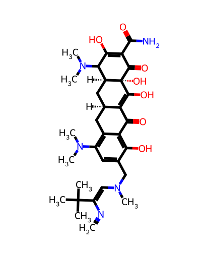 C=N/C(=C\N(C)Cc1cc(N(C)C)c2c(c1O)C(=O)C1=C(O)[C@]3(O)C(=O)C(C(N)=O)=C(O)C(N(C)C)[C@@H]3C[C@@H]1C2)C(C)(C)C